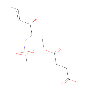 C/C=C/[C@@H](O)[C@H](COC(=O)CCC(=O)O)NS(C)(=O)=O